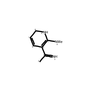 CNC1=C(C(C)=N)C=CCN1